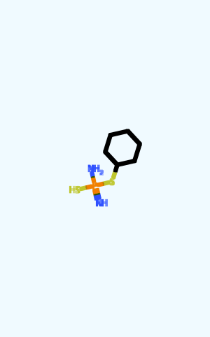 N=P(N)(S)SC1CCCCC1